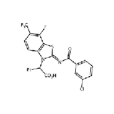 CCC(C(=O)O)n1c(=NC(=O)c2cccc(Cl)c2)sc2c(F)c(C(F)(F)F)ccc21